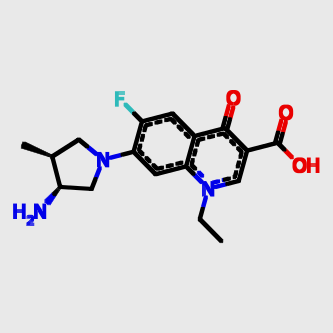 CCn1cc(C(=O)O)c(=O)c2cc(F)c(N3C[C@@H](N)[C@@H](C)C3)cc21